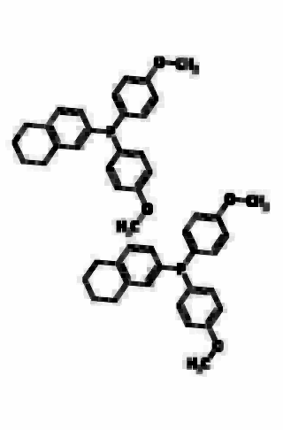 COc1ccc(P(c2[c]c3c(cc2)CCCC3)c2ccc(OC)cc2)cc1.COc1ccc(P(c2[c]c3c(cc2)CCCC3)c2ccc(OC)cc2)cc1